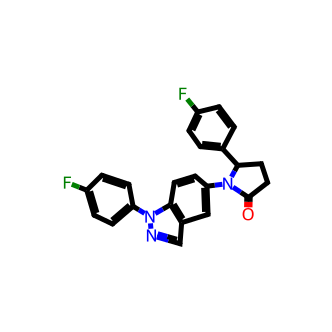 O=C1CCC(c2ccc(F)cc2)N1c1ccc2c(cnn2-c2ccc(F)cc2)c1